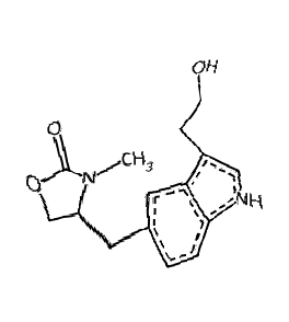 CN1C(=O)OCC1Cc1ccc2[nH]cc(CCO)c2c1